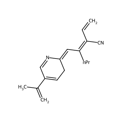 C=C/C(C#N)=C(\C=C1/CC=C(C(=C)C)C=N1)CCC